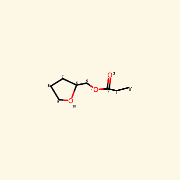 [CH2]CC(=O)OCC1CCCO1